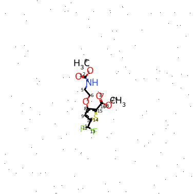 COC(=O)NCCOc1cc(C(F)F)sc1C(=O)OC